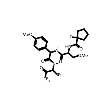 COCC(NC(=O)C1(F)CCCC1)C(=O)NC(C(=O)NC(C(=O)C(F)(F)F)C(C)C)c1ccc(OC)cc1